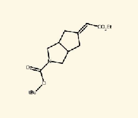 CCOC(=O)C=C1CC2CN(C(=O)OC(C)(C)C)CC2C1